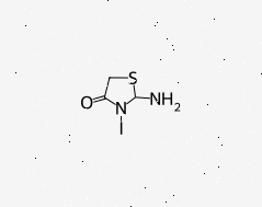 NC1SCC(=O)N1I